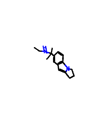 CCNC(C)(C)c1ccc2c(c1)cc1n2CCC1